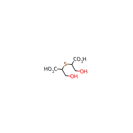 O=C(O)C(CO)SC(CO)C(=O)O